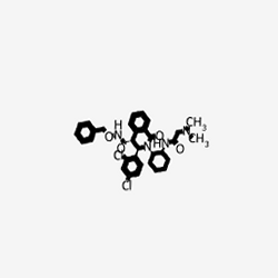 CN(C)CC(=O)N[C@H]1CCCC[C@@H]1N1C(=O)c2ccccc2[C@@H](C(=O)NOCc2ccccc2)[C@@H]1c1ccc(Cl)cc1Cl